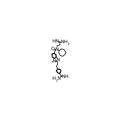 Cn1c(CCc2ccc(C(=N)N)cc2)nc2cc(C(=O)N(CCC(=N)N)C3CCCCCCC3)ccc21